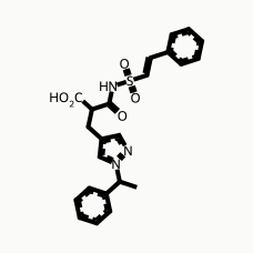 CC(c1ccccc1)n1cc(CC(C(=O)O)C(=O)NS(=O)(=O)/C=C/c2ccccc2)cn1